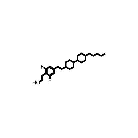 CCCCCC1CCC(C2CCC(CCc3cc(F)c(CCO)c(F)c3)CC2)CC1